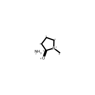 CN1CCCC1=O.N